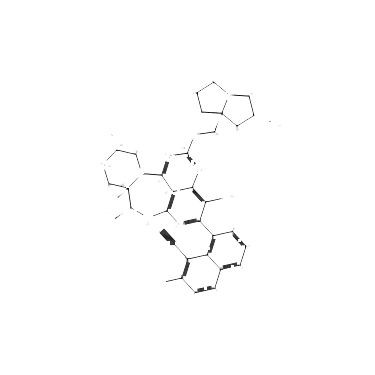 C#Cc1c(F)ccc2cccc(-c3nc4c5c(nc(OC[C@@]67CCCN6C[C@H](F)C7)nc5c3F)N3C[C@@H](CC)NC[C@H]3[C@H](C)O4)c12